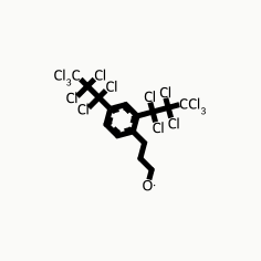 [O]CCCc1ccc(C(Cl)(Cl)C(Cl)(Cl)C(Cl)(Cl)Cl)cc1C(Cl)(Cl)C(Cl)(Cl)C(Cl)(Cl)Cl